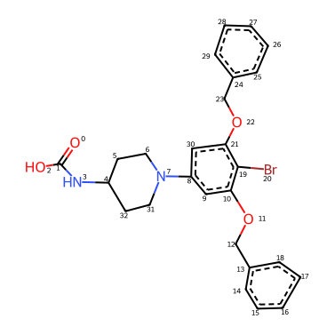 O=C(O)NC1CCN(c2cc(OCc3ccccc3)c(Br)c(OCc3ccccc3)c2)CC1